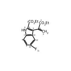 C=C(C(=O)OCC)c1c(C(=O)OCC)[nH]c2ccc(F)cc12